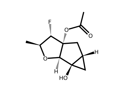 CC(=O)O[C@]12C[C@@H]3C[C@]3(O)[C@H]1O[C@@H](C)[C@@H]2F